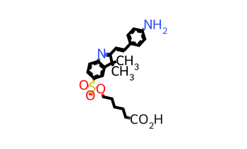 CC1(C)C(C=Cc2ccc(N)cc2)=Nc2ccc(S(=O)(=O)OCCCCCC(=O)O)cc21